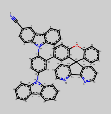 N#Cc1ccc2c(c1)c1ccccc1n2-c1ccc(-n2c3ccccc3c3ccccc32)cc1-c1ccc2c(c1)C1(c3ccccc3O2)c2cccnc2-c2ncccc21